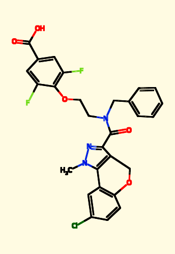 Cn1nc(C(=O)N(CCOc2c(F)cc(C(=O)O)cc2F)Cc2ccccc2)c2c1-c1cc(Cl)ccc1OC2